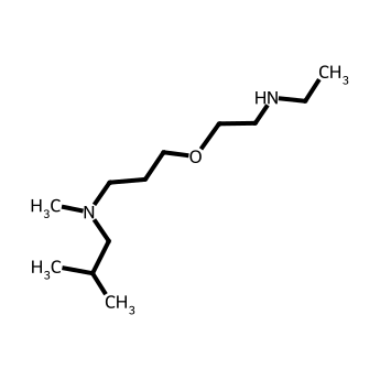 CCNCCOCCCN(C)CC(C)C